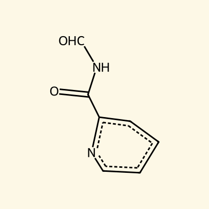 O=CNC(=O)c1ccccn1